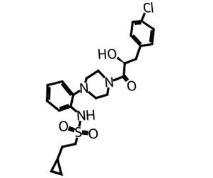 O=C([C@@H](O)Cc1ccc(Cl)cc1)N1CCN(c2ccccc2NS(=O)(=O)CCC2CC2)CC1